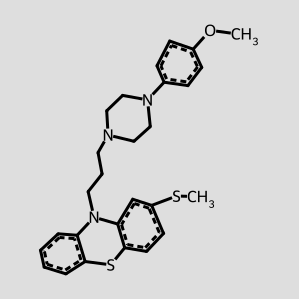 COc1ccc(N2CCN(CCCN3c4ccccc4Sc4ccc(SC)cc43)CC2)cc1